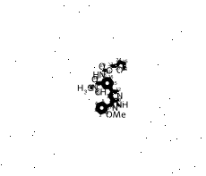 COc1ccccc1-c1n[nH]c2ncc(-c3ccc(NC(=O)OCC4CCCO4)c(C(=O)N(C)C)c3)cc12